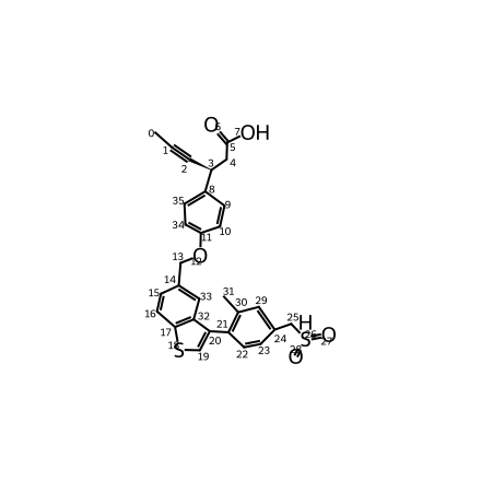 CC#C[C@@H](CC(=O)O)c1ccc(OCc2ccc3scc(-c4ccc(C[SH](=O)=O)cc4C)c3c2)cc1